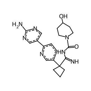 N=C(NC(=O)N1CCC(O)CC1)C1(c2ccc(-c3cnc(N)nc3)nc2)CCC1